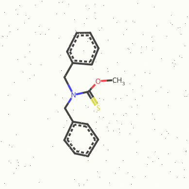 COC(=S)N(Cc1ccccc1)Cc1ccccc1